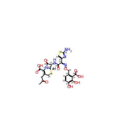 CC(=O)CC1=C(C(=O)O)N2C(=O)[C@@H](NC(=O)/C(=N\OCc3ccc(O)c(O)c3C(=O)O)c3csc(N)n3)[C@H]2SC1